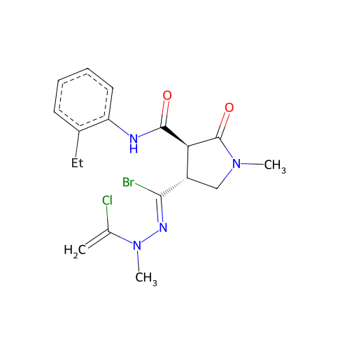 C=C(Cl)N(C)/N=C(\Br)[C@H]1CN(C)C(=O)[C@@H]1C(=O)Nc1ccccc1CC